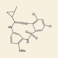 COc1ccc(NC(=O)C2CC2C)cc1NS(=O)(=O)c1cc(Cl)cc(Cl)c1O